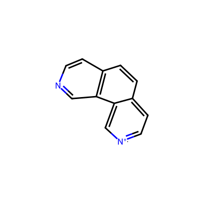 C1=[N+]C=c2c(ccc3ccncc23)=C1